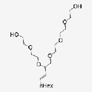 CCCCCCC=CC(COCCOCCOCCO)OCCOCCO